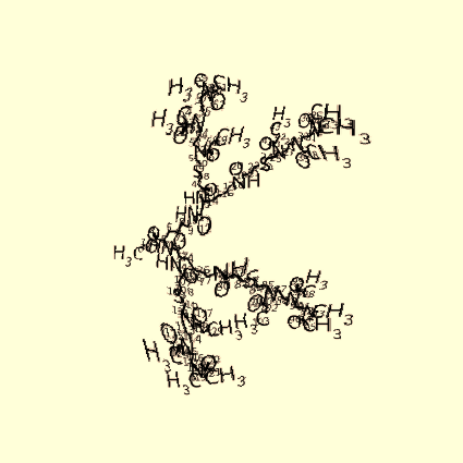 CCOC(=O)C(CCCCNC(=O)C(CCCCNC(=O)CCSCCN(CCN(CCN(C)C(C)=O)C(C)=O)C(=O)CC)NC(=O)CCSCCN(CCN(CCN(C)C(C)=O)C(C)=O)C(=O)CC)NC(=O)C(CCCCNC(=O)CCSCCN(CCN(CCN(C)C(C)=O)C(C)=O)C(=O)CC)NC(=O)CCSCCN(CCN(CCN(C)C(C)=O)C(C)=O)C(=O)CC